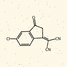 N#CC(C#N)=C1CC(=O)c2cc(Cl)ccc21